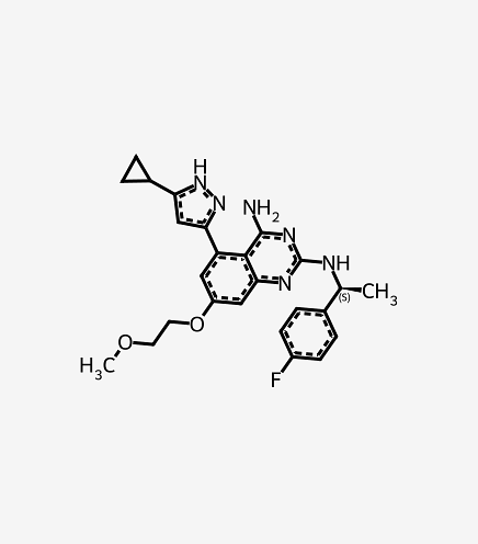 COCCOc1cc(-c2cc(C3CC3)[nH]n2)c2c(N)nc(N[C@@H](C)c3ccc(F)cc3)nc2c1